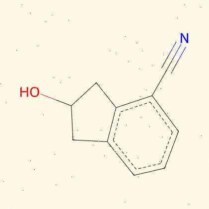 N#Cc1cccc2c1CC(O)C2